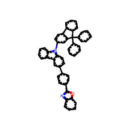 c1ccc(C2(c3ccccc3)c3ccccc3-c3ccc(-n4c5ccccc5c5cc(-c6ccc(-c7nc8ccccc8o7)cc6)ccc54)cc32)cc1